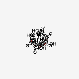 O=CCCSCC1OC2OC3C(CSCCC=O)OC(OC4C(CSCCC=O)OC(OC5C(CSCCC=O)OC(OC6C(CSCCC(=O)O)OC(OC7C(CSCCC=O)OC(OC8C(CSCCC=O)OC(OC9C(CSCCC=O)OC(OC1C(O)C2O)C(O)C9O)C(O)C8O)C(O)C7O)C(O)C6O)C(O)C5O)C(O)C4O)C(O)C3O